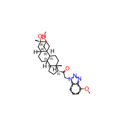 COCC[C@]12CC[C@@](C)(O)C[C@H]1CC[C@H]1[C@@H]3CC[C@H](C(=O)Cn4nnc5c(OC)cccc54)[C@@]3(C)CC[C@@H]12